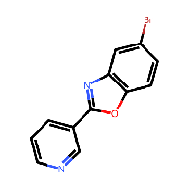 Brc1ccc2oc(-c3cccnc3)nc2c1